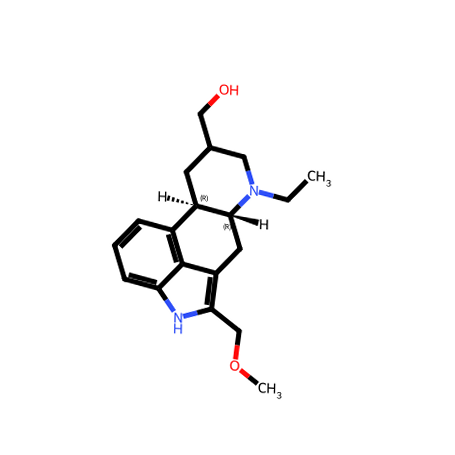 CCN1CC(CO)C[C@@H]2c3cccc4[nH]c(COC)c(c34)C[C@H]21